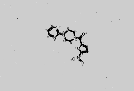 O=C(c1ccc([N+](=O)[O-])o1)N1CCN(c2ncccn2)CC1